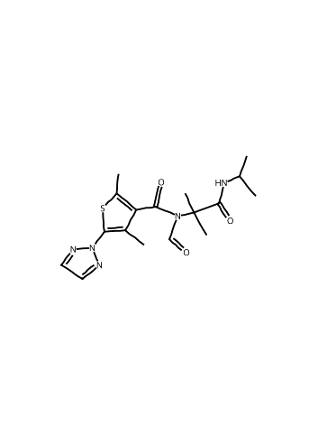 Cc1sc(-n2nccn2)c(C)c1C(=O)N(C=O)C(C)(C)C(=O)NC(C)C